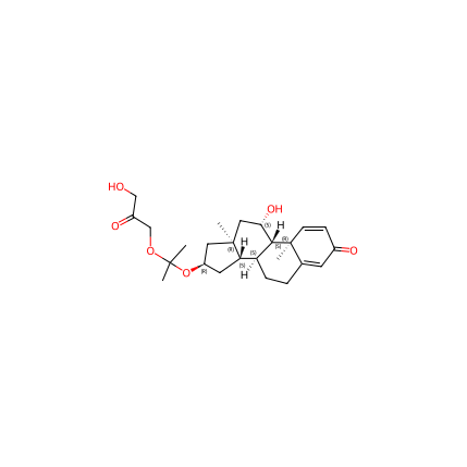 CC(C)(OCC(=O)CO)O[C@@H]1C[C@H]2[C@@H]3CCC4=CC(=O)C=C[C@]4(C)[C@H]3[C@@H](O)C[C@]2(C)C1